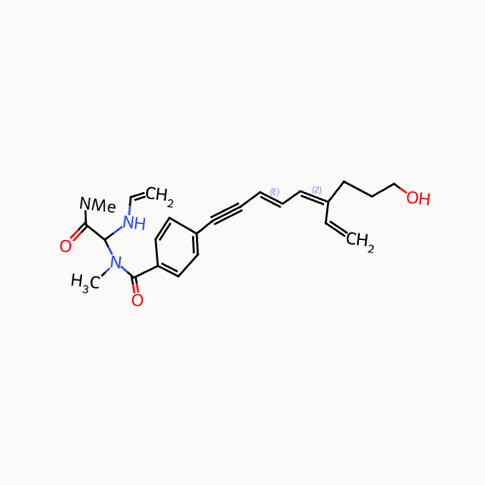 C=CNC(C(=O)NC)N(C)C(=O)c1ccc(C#C/C=C/C=C(\C=C)CCCO)cc1